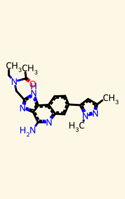 CCN(Cc1nc2c(N)nc3cc(-c4cc(C)nn4C)ccc3c2[nH]1)C(C)=O